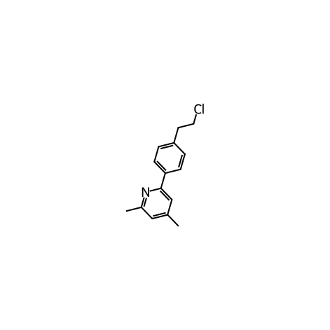 Cc1cc(C)nc(-c2ccc(CCCl)cc2)c1